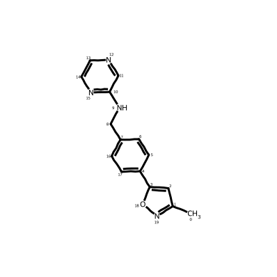 Cc1cc(-c2ccc(CNc3cnccn3)cc2)on1